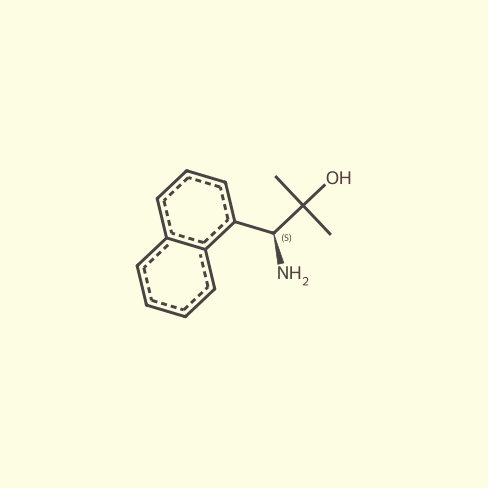 CC(C)(O)[C@@H](N)c1cccc2ccccc12